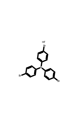 Brc1ccc(N(c2ccc(Br)cc2)c2ccc(Br)cc2)cc1.F